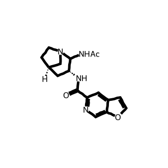 CC(=O)NC1[C@H](NC(=O)c2cc3ccoc3cn2)C[C@H]2CCN1C2